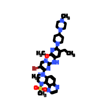 CCc1cc(Nc2ncc(Br)c(Nc3ccc4nccnc4c3N(CC)S(C)(=O)=O)n2)c(OC)nc1N1CCC(N2CCN(C)CC2)CC1